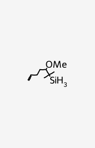 C=CCCC(OC)C(C)(C)[SiH3]